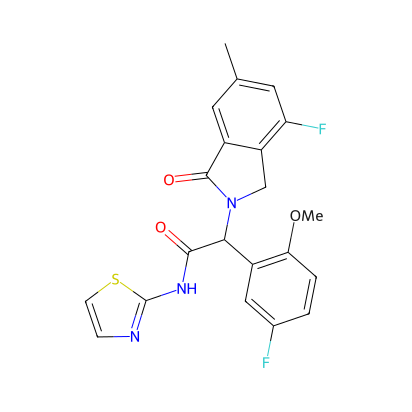 COc1ccc(F)cc1C(C(=O)Nc1nccs1)N1Cc2c(F)cc(C)cc2C1=O